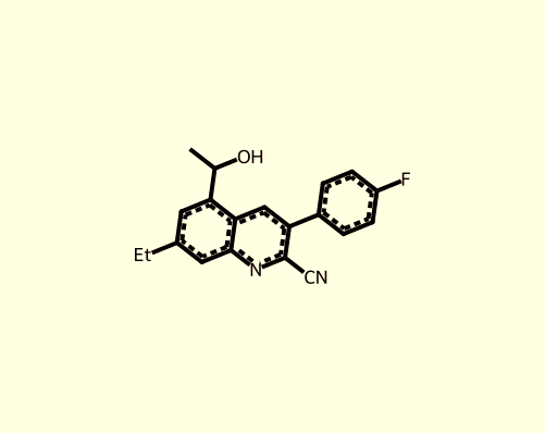 CCc1cc(C(C)O)c2cc(-c3ccc(F)cc3)c(C#N)nc2c1